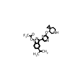 C=C(C)c1ccc2c(c1)c(-c1cncc(O[C@H]3CNCCC34CC4)n1)nn2OC(=O)C(F)(F)F